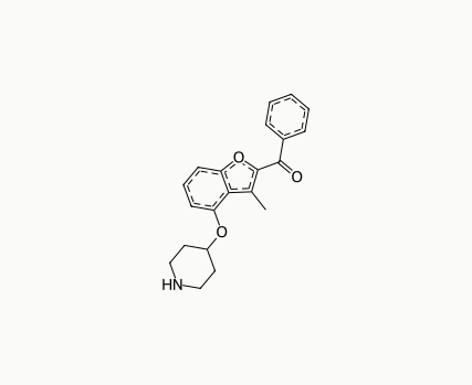 Cc1c(C(=O)c2ccccc2)oc2cccc(OC3CCNCC3)c12